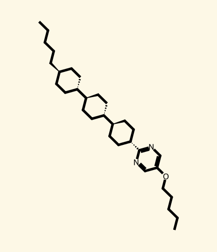 CCCCCOc1cnc([C@H]2CC[C@H]([C@H]3CC[C@H]([C@H]4CC[C@H](CCCCC)CC4)CC3)CC2)nc1